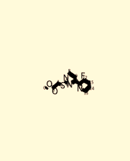 COC(=O)CSc1nccc(-c2ncccc2F)n1